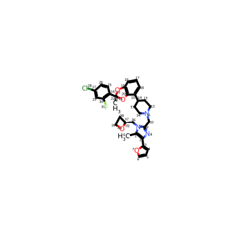 Cc1c(-c2ccco2)nc(CN2CCC(c3cccc4c3O[C@@](C)(c3ccc(Cl)cc3F)O4)CC2)n1C[C@@H]1CCO1